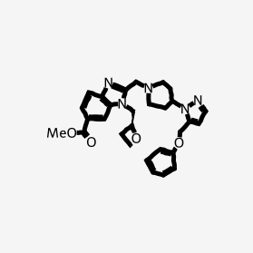 COC(=O)c1ccc2nc(CN3CCC(n4nccc4COc4ccccc4)CC3)n(C[C@@H]3CCO3)c2c1